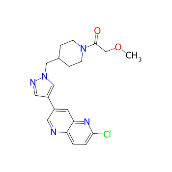 COCC(=O)N1CCC(Cn2cc(-c3cnc4ccc(Cl)nc4c3)cn2)CC1